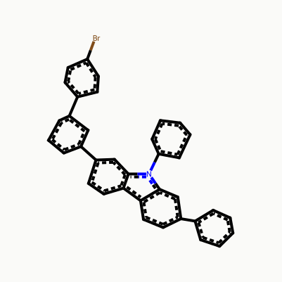 Brc1ccc(-c2cccc(-c3ccc4c5ccc(-c6ccccc6)cc5n(-c5ccccc5)c4c3)c2)cc1